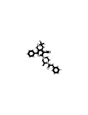 CC1CN(c2nc(-c3ccccc3)c3c(c2C#N)CC(C)(C)OC3)CCN1C(=O)Cc1ccccc1